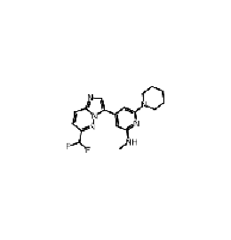 CNc1cc(-c2cnc3ccc(C(F)F)nn23)cc(N2CCCCC2)n1